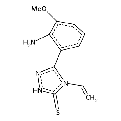 C=Cn1c(-c2cccc(OC)c2N)n[nH]c1=S